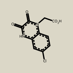 O=C(O)Cn1c(=O)c(=O)[nH]c2cc(Cl)ccc21